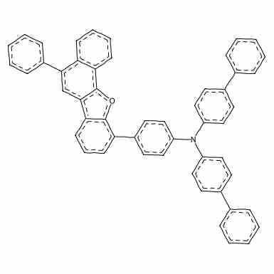 c1ccc(-c2ccc(N(c3ccc(-c4ccccc4)cc3)c3ccc(-c4cccc5c4oc4c6ccccc6c(-c6ccccc6)cc54)cc3)cc2)cc1